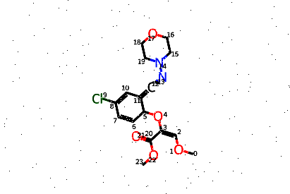 COC=C(OC1C=CC(Cl)=CC1=C=NN1CCOCC1)C(=O)OC